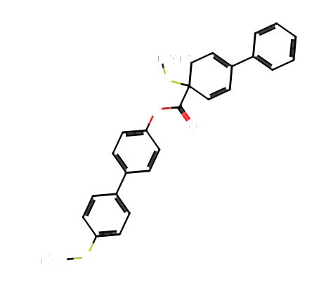 CCCCCCCCSc1ccc(-c2ccc(OC(=O)C3(SCCCCC)C=CC(c4ccccc4)=CC3)cc2)cc1